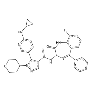 O=C(NC1N=C(c2ccccc2)c2cccc(F)c2NC1=O)c1cnn(C2CCOCC2)c1-c1ccc(NC2CC2)nc1